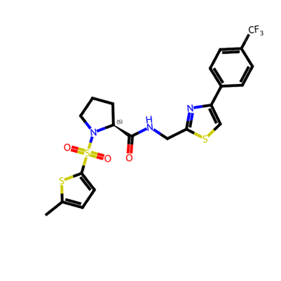 Cc1ccc(S(=O)(=O)N2CCC[C@H]2C(=O)NCc2nc(-c3ccc(C(F)(F)F)cc3)cs2)s1